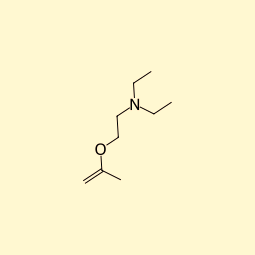 C=C(C)OCCN(CC)CC